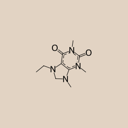 CCN1CN(C)c2c1c(=O)n(C)c(=O)n2C